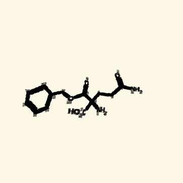 NC(=O)CCC(N)(C(=O)O)C(=O)OCc1ccccc1